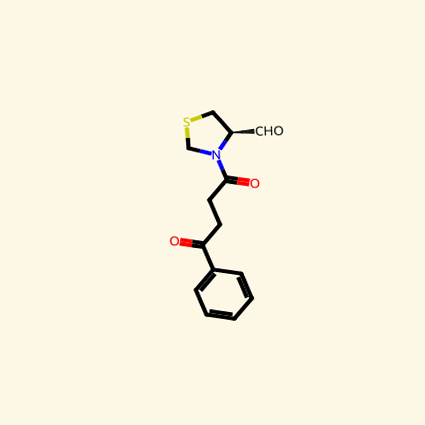 O=C[C@@H]1CSCN1C(=O)CCC(=O)c1ccccc1